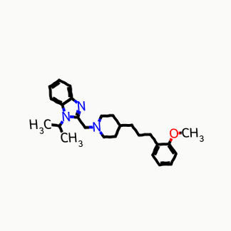 COc1ccccc1CCCC1CCN(Cc2nc3ccccc3n2C(C)C)CC1